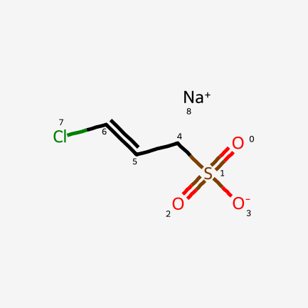 O=S(=O)([O-])CC=CCl.[Na+]